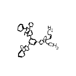 C=Cc1c(/C=C\C)oc2cc(-c3cc(-c4ccc(N(c5ccccc5)c5ccccc5)nc4)cc(-c4ccc5c(c4)oc4ccccc45)c3)ccc12